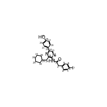 O=C(Cc1ccc(I)cc1)Nc1ncc(-c2ccc(O)cc2)nc1CC1CCCCC1